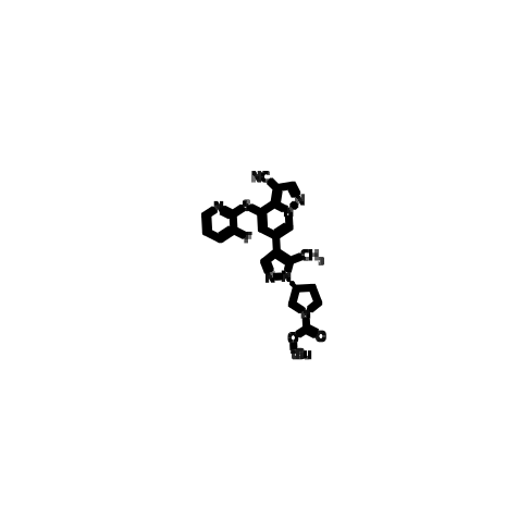 Cc1c(-c2cc(Sc3ncccc3F)c3c(C#N)cnn3c2)cnn1[C@@H]1CCN(C(=O)OC(C)(C)C)C1